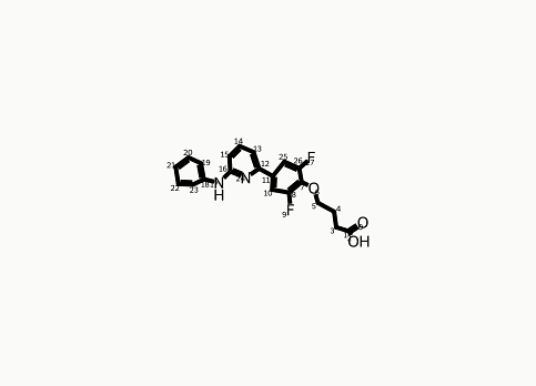 O=C(O)CCCOc1c(F)cc(-c2cccc(Nc3ccccc3)n2)cc1F